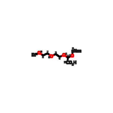 CCCCCCCCCOC(OCCOCCOCC)C(=O)O